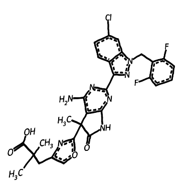 CC(C)(Cc1coc(C2(C)C(=O)Nc3nc(-c4nn(Cc5c(F)cccc5F)c5cc(Cl)ccc45)nc(N)c32)n1)C(=O)O